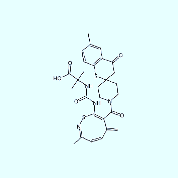 C=C1/C=C\C(C)=N/S/C(NC(=O)NC(C)(C)C(=O)O)=C\1C(=O)N1CCC2(CC1)CC(=O)c1cc(C)ccc1S2